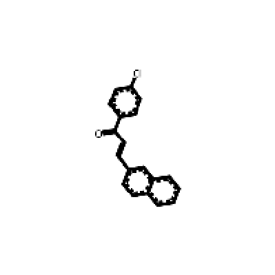 O=C(C=Cc1ccc2ccccc2c1)c1ccc(Cl)cc1